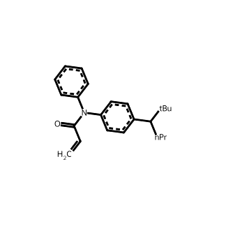 C=CC(=O)N(c1ccccc1)c1ccc(C(CCC)C(C)(C)C)cc1